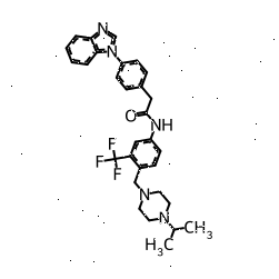 CC(C)N1CCN(Cc2ccc(NC(=O)Cc3ccc(-n4cnc5ccccc54)cc3)cc2C(F)(F)F)CC1